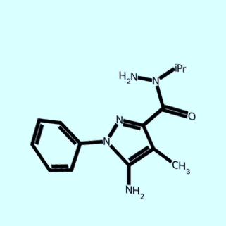 Cc1c(C(=O)N(N)C(C)C)nn(-c2ccccc2)c1N